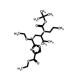 CCCN(C(=O)OC(C)(C)C)C(C[C@H](OCC)c1nc(C(=O)OCC)cs1)C(C)C